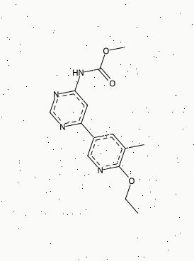 CCOc1ncc(-c2cc(NC(=O)OC)ncn2)cc1C